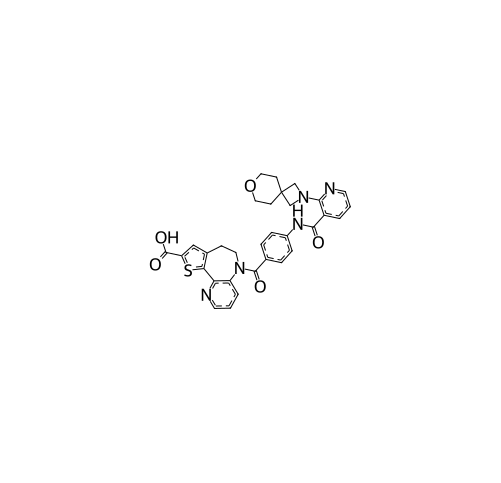 O=C(O)c1cc2c(s1)-c1ncccc1N(C(=O)c1ccc(NC(=O)c3cccnc3N3CC4(CCOCC4)C3)cc1)CC2